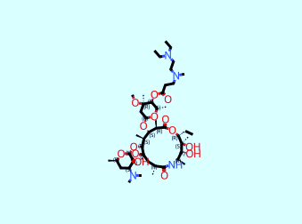 CC[C@H]1OC(=O)[C@H](C)[C@@H](O[C@H]2C[C@@](C)(OC)[C@@H](OC(=O)CCN(C)CCN(CC)CC)[C@H](C)O2)[C@H](C)[C@@H](O[C@@H]2O[C@H](C)C[C@H](N(C)C)[C@H]2O)[C@](C)(OC)C[C@@H](C)C(=O)N[C@H](C)[C@@H](O)[C@]1(C)O